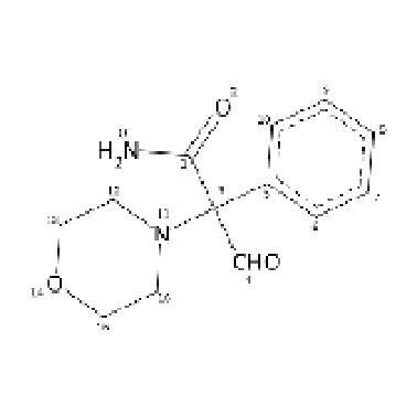 NC(=O)C(C=O)(c1ccccc1)N1CCOCC1